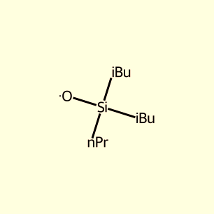 CCC[Si]([O])(C(C)CC)C(C)CC